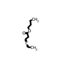 CC=C=CCC(=O)OCCCC